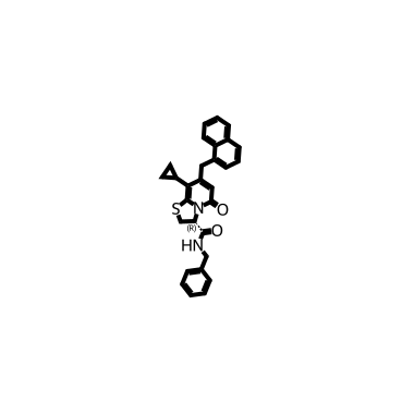 O=C(NCc1ccccc1)[C@@H]1CSc2c(C3CC3)c(Cc3cccc4ccccc34)cc(=O)n21